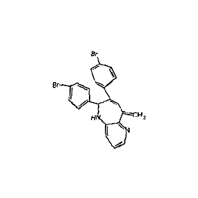 C=C1C=C(c2ccc(Br)cc2)C(c2ccc(Br)cc2)Nc2cccnc21